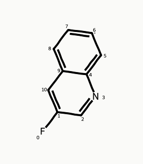 Fc1cnc2c[c]ccc2c1